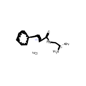 CC(C)[C@H](N)CNC(=O)/C=C/c1ccccc1.Cl